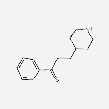 O=C(CCC1CCNCC1)c1ccccc1